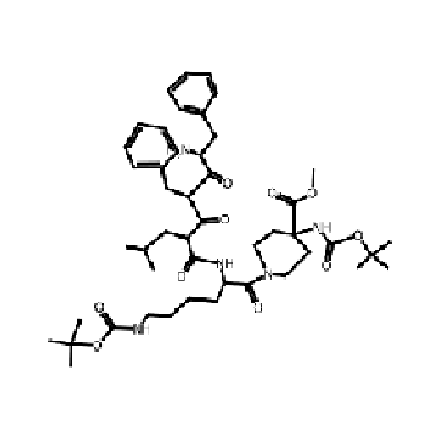 COC(=O)C1(NC(=O)OC(C)(C)C)CCN(C(=O)C(CCCCNC(=O)OC(C)(C)C)NC(=O)C(CC(C)C)C(=O)C(Cc2ccccc2)C(=O)C(N)Cc2ccccc2)CC1